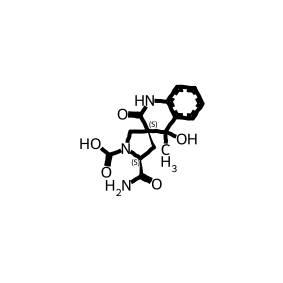 CC1(O)c2ccccc2NC(=O)[C@]12C[C@@H](C(N)=O)N(C(=O)O)C2